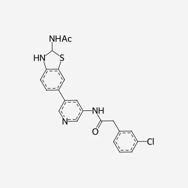 CC(=O)NC1Nc2ccc(-c3cncc(NC(=O)Cc4cccc(Cl)c4)c3)cc2S1